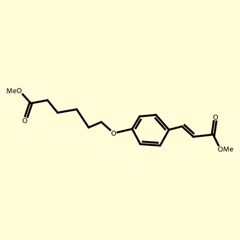 COC(=O)/C=C/c1ccc(OCCCCCC(=O)OC)cc1